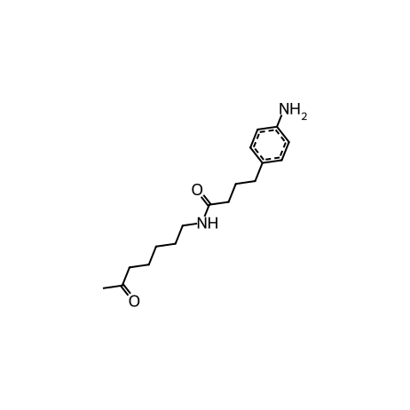 CC(=O)CCCCCNC(=O)CCCc1ccc(N)cc1